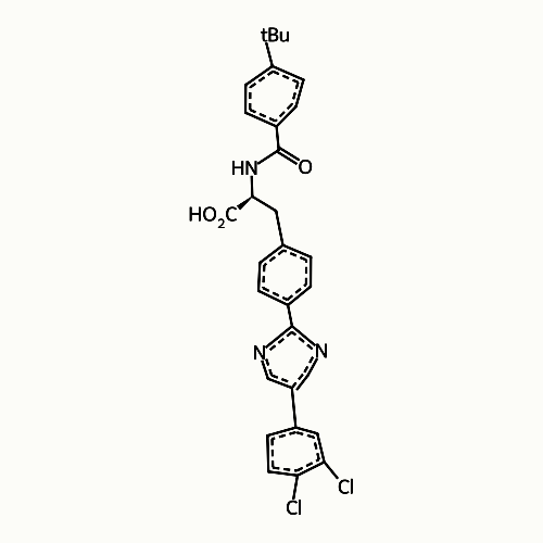 CC(C)(C)c1ccc(C(=O)N[C@@H](Cc2ccc(-c3ncc(-c4ccc(Cl)c(Cl)c4)cn3)cc2)C(=O)O)cc1